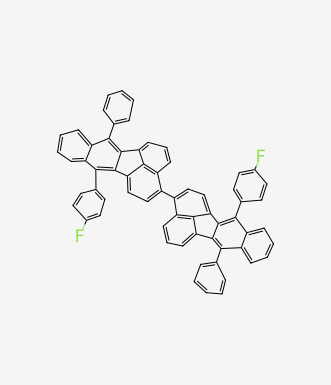 Fc1ccc(-c2c3c(c(-c4ccccc4)c4ccccc24)-c2cccc4c(-c5ccc6c7c(cccc57)-c5c-6c(-c6ccc(F)cc6)c6ccccc6c5-c5ccccc5)ccc-3c24)cc1